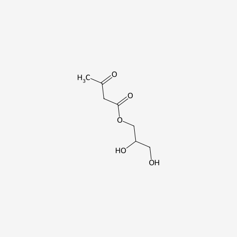 CC(=O)CC(=O)OCC(O)CO